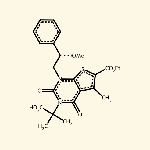 CCOC(=O)c1sc2c(c1C)c(=O)n(C(C)(C)C(=O)O)c(=O)n2C[C@@H](OC)c1ccccc1